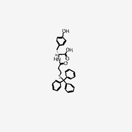 O=C(CCSC(c1ccccc1)(c1ccccc1)c1ccccc1)N[C@H](Cc1ccc(O)cc1)C(=O)O